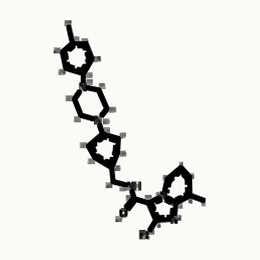 CCc1nc2c(C)cccn2c1C(=O)NCc1ccc(N2CCN(c3ccc(C)cc3)CC2)cc1